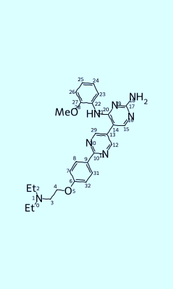 CCN(CC)CCOc1ccc(-c2ncc(-c3cnc(N)nc3Nc3ccccc3OC)cn2)cc1